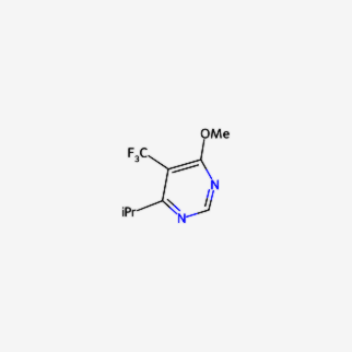 COc1ncnc(C(C)C)c1C(F)(F)F